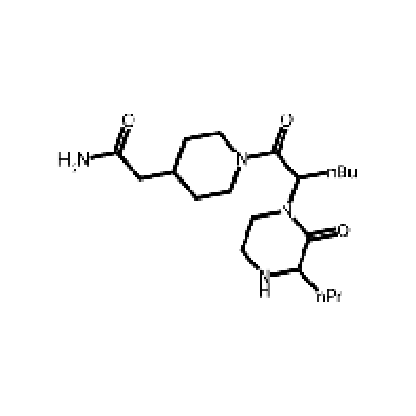 CCCCC(C(=O)N1CCC(CC(N)=O)CC1)N1CCNC(CCC)C1=O